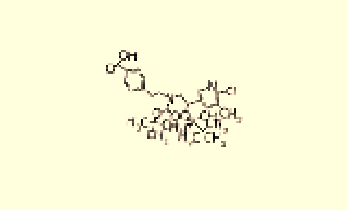 Cc1cc(C(CN(CCc2ccc(C(=O)O)cc2)C(=O)OC(C)(C)C)O[Si](C)(C)C(C)(C)C)cnc1Cl